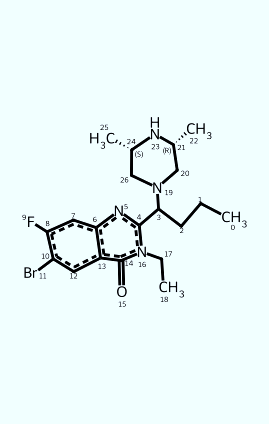 CCCC(c1nc2cc(F)c(Br)cc2c(=O)n1CC)N1C[C@@H](C)N[C@@H](C)C1